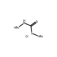 CCCCNC(=S)SCCCC.[Cr]